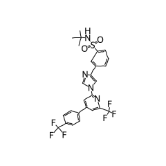 CC(C)(C)NS(=O)(=O)c1cccc(-c2cn(-c3cc(-c4ccc(C(F)(F)F)cc4)cc(C(F)(F)F)n3)cn2)c1